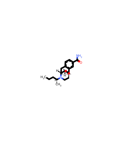 CCC[C@@H](C)N1CC[C@]23CCCC[C@H]2[C@H]1Cc1ccc(C(N)=O)cc13